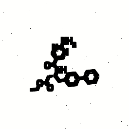 CCOC(=O)C[C@@H](Cc1ccc(-c2ccccc2)cc1)NC(=O)c1cnc(N)nc1